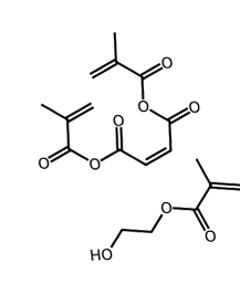 C=C(C)C(=O)OC(=O)/C=C\C(=O)OC(=O)C(=C)C.C=C(C)C(=O)OCCO